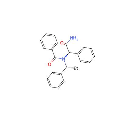 CC[C@H](c1ccccc1)N(C(=O)c1ccccc1)[C@@H](C(N)=O)c1ccccc1